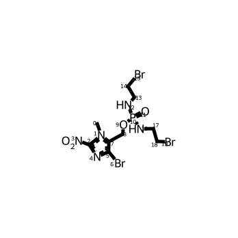 Cn1c([N+](=O)[O-])nc(Br)c1COP(=O)(NCCBr)NCCBr